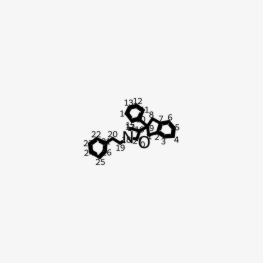 O=C1c2ccccc2CC1(c1ccccc1)C1CN(CCc2ccccc2)C1